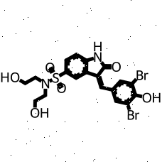 O=C1Nc2ccc(S(=O)(=O)N(CCO)CCO)cc2C1=Cc1cc(Br)c(O)c(Br)c1